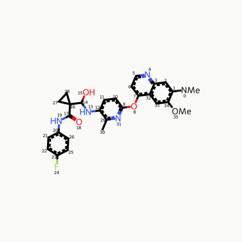 CNc1cc2nccc(Oc3ccc(NC(O)C4(C(=O)Nc5ccc(F)cc5)CC4)c(C)n3)c2cc1OC